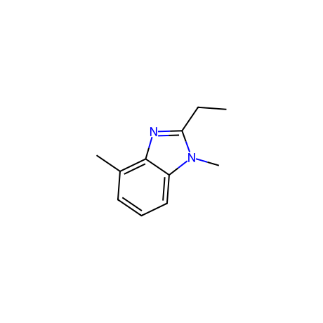 CCc1nc2c(C)cccc2n1C